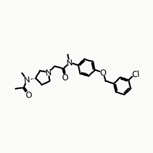 CC(=O)N(C)[C@H]1CCN(CC(=O)N(C)c2ccc(OCc3cccc(Cl)c3)cc2)C1